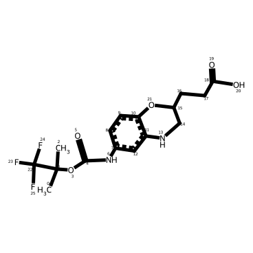 CC(C)(OC(=O)Nc1ccc2c(c1)NCC(CCC(=O)O)O2)C(F)(F)F